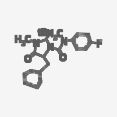 CN(C(=O)N1C(Cc2ccccc2)C(=O)N(C)C1C(C)(C)C)c1ccc(F)cc1